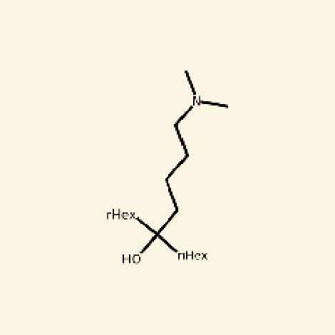 [CH2]CCCCCC(O)(CCCCC[CH2])CCCCN(C)C